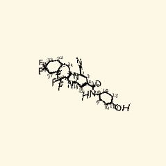 N#Cc1cc(C(=O)NC2CCC(O)CC2)cc2nc(C(F)(F)F)c(CC3CCC(F)(F)CC3)n12